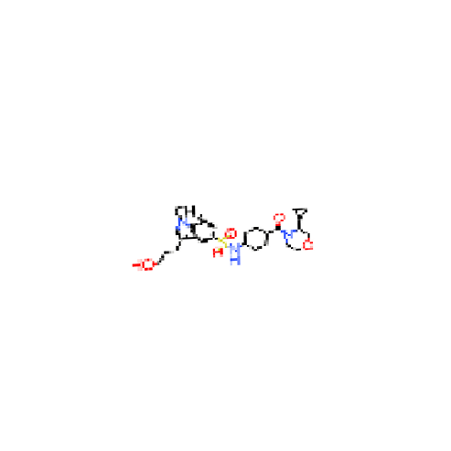 Cn1cc(CCCO)c2cc(S(=O)(=O)NC3CCC(C(=O)N4CCOCC4C4CC4)CC3)ccc21